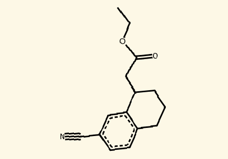 CCOC(=O)CC1CCCc2ccc(C#N)cc21